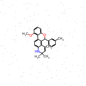 COc1cccc2c1-c1ccc3c(c1C(c1cccc(C)c1)O2)C(C)=CC(C)(C)N3